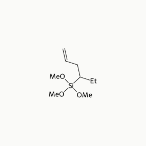 C=CCC(CC)[Si](OC)(OC)OC